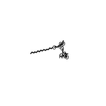 CCCCCCCCCCCCCCCCOCCCOP(=O)(COCCn1cc(C)c(=O)[nH]c1=O)OCC